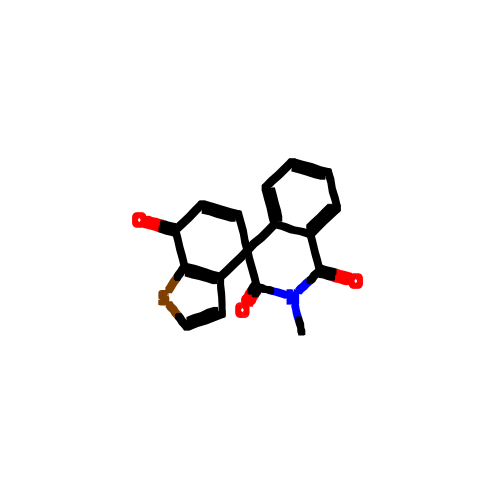 CN1C(=O)c2ccccc2C2(C=CC(=O)c3sccc32)C1=O